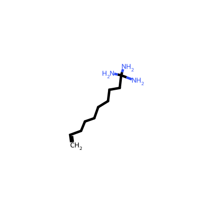 C=CCCCCCCCC(N)(N)N